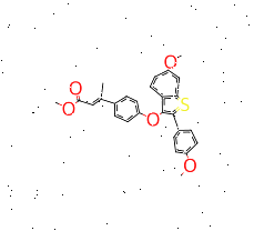 COC(=O)/C=C(\C)c1ccc(Oc2c(-c3ccc(OC)cc3)sc3cc(OC)ccc23)cc1